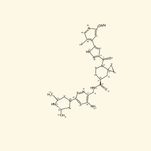 COc1cc(-c2cc(C(=O)N3CC[C@H](C(=O)NCc4ncc(N5CC(C)NC(C)C5)cc4N)CC34CC4)n[nH]2)c(F)cn1